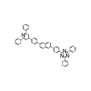 C1=CCCC(c2nc(-c3ccccc3)nc(-c3ccc(-c4ccc5cc(-c6ccc(-c7cc(-c8ccccc8)nc(C8C=CC=CC8)c7)cc6)ccc5c4)cc3)n2)=C1